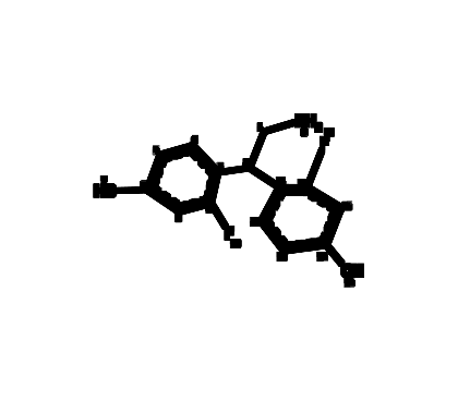 NCC(c1ccc(O)cc1F)c1ccc(O)cc1F